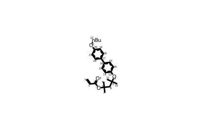 C=CC(=O)OC(C)(C)CC(C)(C)Oc1ccc(-c2ccc(OCCCC)cc2)cc1